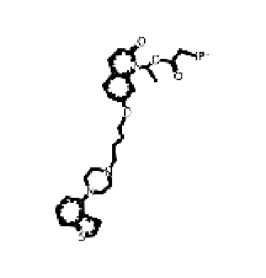 CC(C)CC(=O)OC(C)n1c(=O)ccc2ccc(OCCCCN3CCN(c4cccc5sccc45)CC3)cc21